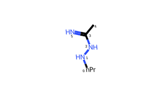 CCCNNC(C)=N